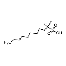 CCCCCCCCCC(F)(F)S(=O)(=O)O